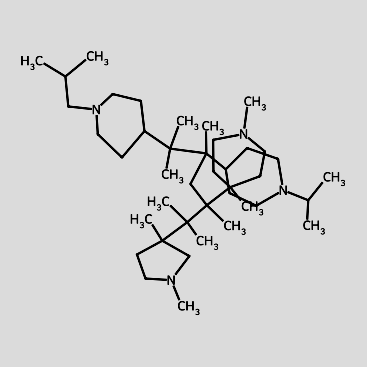 CC(C)CN1CCC(C(C)(C)C(C)(CC(C)(C2(C)CCN(C)CC2)C(C)(C)C2(C)CCN(C)C2)C2CCN(C(C)C)CC2)CC1